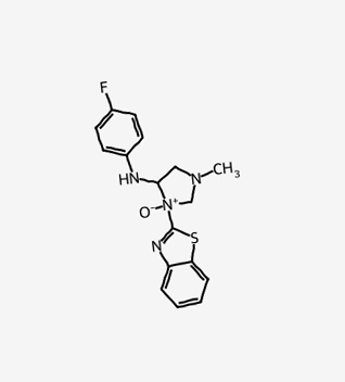 CN1CC(Nc2ccc(F)cc2)[N+]([O-])(c2nc3ccccc3s2)C1